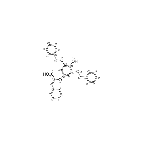 O=C(O)C(=Cc1ccccc1)Oc1cc(OCc2ccccc2)c(O)c(OCc2ccccc2)c1